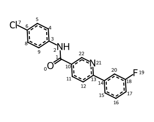 O=C(Nc1ccc(Cl)cc1)c1ccc(-c2cccc(F)c2)nc1